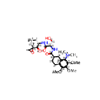 CC[C@]1(C(=O)[C@H](CC(C)C)NC(=O)[C@H](CO)NC(=O)C2CCc3c(c(N(C)C)c(OC)c(OC)c3OC)C2)CO1